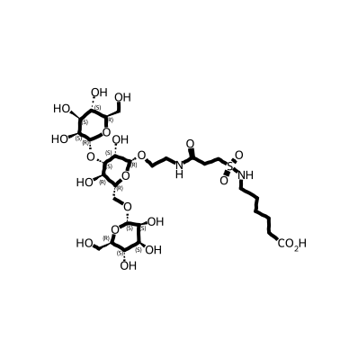 O=C(O)CCCCCNS(=O)(=O)CCC(=O)NCCO[C@@H]1O[C@H](CO[C@H]2O[C@H](CO)[C@@H](O)[C@H](O)[C@@H]2O)[C@@H](O)[C@H](O[C@H]2O[C@H](CO)[C@@H](O)[C@H](O)[C@@H]2O)[C@@H]1O